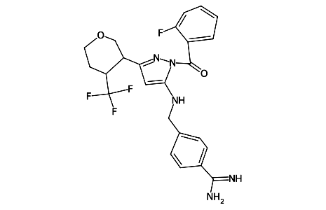 N=C(N)c1ccc(CNc2cc(C3COCCC3C(F)(F)F)nn2C(=O)c2ccccc2F)cc1